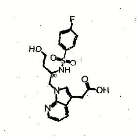 O=C(O)Cc1cn(C[C@@H](CCO)NS(=O)(=O)c2ccc(F)cc2)c2ncccc12